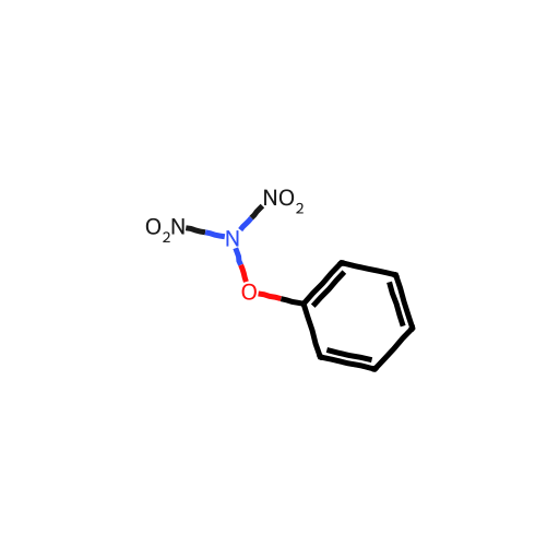 O=[N+]([O-])N(Oc1ccccc1)[N+](=O)[O-]